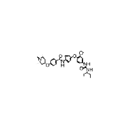 CCC(CC)NC(=O)Nc1ccc(Oc2ccc(NC(=O)c3ccc(O[C@H]4C[C@@H](C)N(C)[C@@H](C)C4)cc3)cc2)c(OC)c1